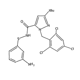 CC(C)(C)c1cc(C(=O)NSc2cccc(N)c2)n(Cc2c(Cl)cc(Cl)cc2Cl)n1